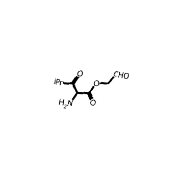 CC(C)C(=O)C(N)C(=O)OCC=O